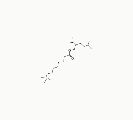 CC(C)CCC(COC(=O)CCCCCCCC(C)(C)C)C(C)C